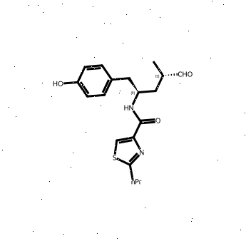 CCCc1nc(C(=O)N[C@@H](Cc2ccc(O)cc2)C[C@H](C)C=O)cs1